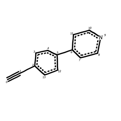 C#Cc1ccc(-c2ccncc2)cc1